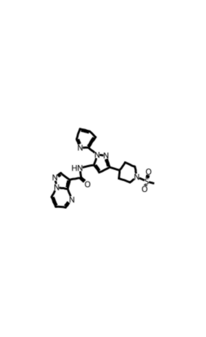 CS(=O)(=O)N1CCC(c2cc(NC(=O)c3cnn4cccnc34)n(-c3ccccn3)n2)CC1